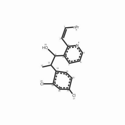 CCC/C=C\c1ncccc1C(O)C(C)c1ccc(Cl)cc1Cl